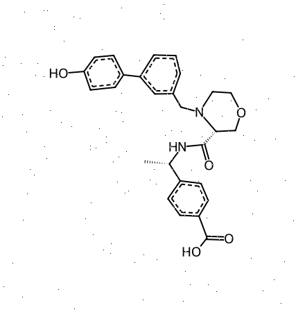 C[C@H](NC(=O)[C@H]1COCCN1Cc1cccc(-c2ccc(O)cc2)c1)c1ccc(C(=O)O)cc1